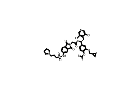 O=C(CN1C(=O)c2ccc(NS(=O)(=O)CCCN3CCCC3)cc2C1=O)O[C@@H](Cc1c(Cl)cncc1Cl)c1ccc(OC(F)F)c(OCC2CC2)c1